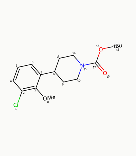 COc1c(Cl)cccc1C1CCN(C(=O)OC(C)(C)C)CC1